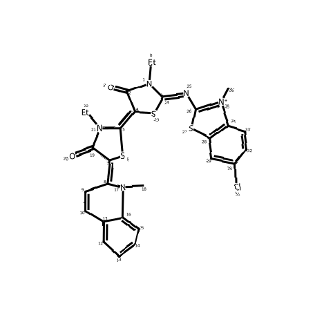 CCN1C(=O)/C(=c2/s/c(=C3/C=Cc4ccccc4N3C)c(=O)n2CC)S/C1=N\c1sc2cc(Cl)ccc2[n+]1C